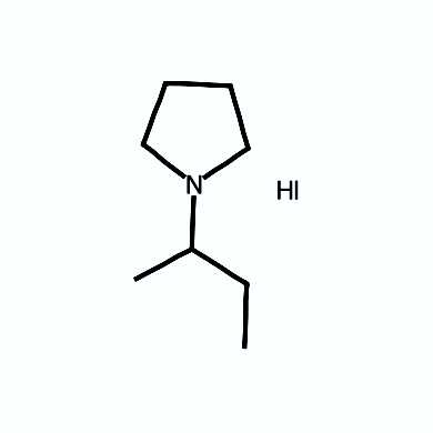 CCC(C)N1CCCC1.I